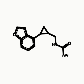 CCCC(=O)NCC1CC1c1cccc2occc12